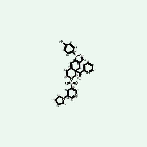 O=C(c1ccccn1)C12Cc3cnn(-c4ccc(F)cc4)c3C=C1CCN(S(=O)(=O)c1cncc(N3CCCC3)c1)C2